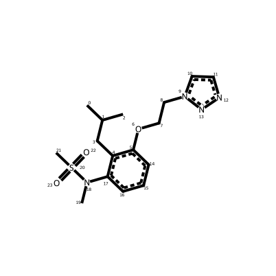 CC(C)Cc1c(OCCn2ccnn2)cccc1N(C)S(C)(=O)=O